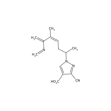 C=NC(=C)/C(C)=C\CC(C)n1cc(C(=O)O)c(C#N)n1